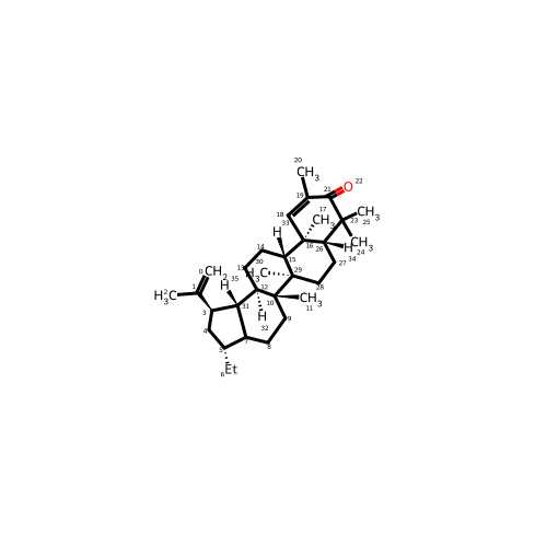 C=C(C)[C@@H]1C[C@@H](CC)C2CC[C@]3(C)[C@H](CC[C@@H]4[C@@]5(C)C=C(C)C(=O)C(C)(C)[C@@H]5CC[C@]43C)[C@H]21